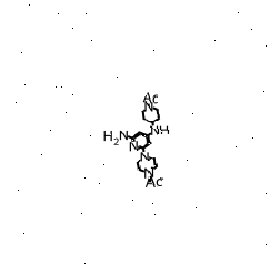 CC(=O)N1CCC(Nc2cc(N)nc(N3CCN(C(C)=O)CC3)c2)CC1